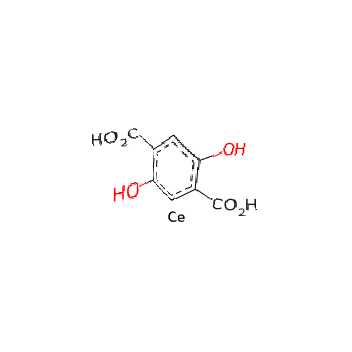 O=C(O)c1cc(O)c(C(=O)O)cc1O.[Ce]